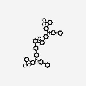 O=c1oc2ccc(N(c3ccc(-c4ccccc4)cc3)c3ccc(-c4ccc(-c5cccc6oc7c(-c8ccc(N(c9ccc(-c%10ccccc%10)cc9)c9ccc%10oc(=O)c%11ccccc%11c%10c9)cc8)cccc7c56)cc4)cc3)cc2c2ccccc12